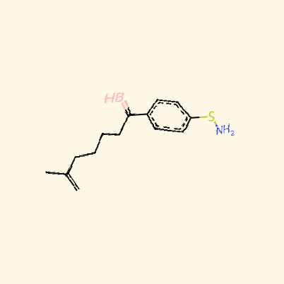 B=C(CCCCC(=C)C)c1ccc(SN)cc1